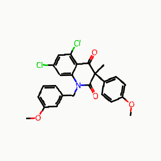 COc1ccc(C2(C)C(=O)c3c(Cl)cc(Cl)cc3N(Cc3cccc(OC)c3)C2=O)cc1